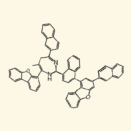 CC1=C(c2cccc3c2oc2ccccc23)NC(c2ccc(-c3cc(-c4ccc5ccccc5c4)cc4oc5ccccc5c34)c3ccccc23)N=C(c2ccc3ccccc3c2)C1